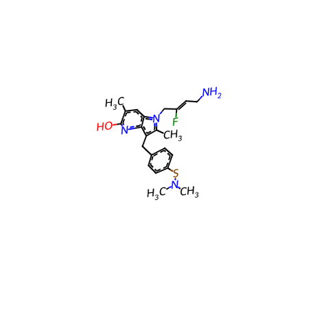 Cc1cc2c(nc1O)c(Cc1ccc(SN(C)C)cc1)c(C)n2C/C(F)=C/CN